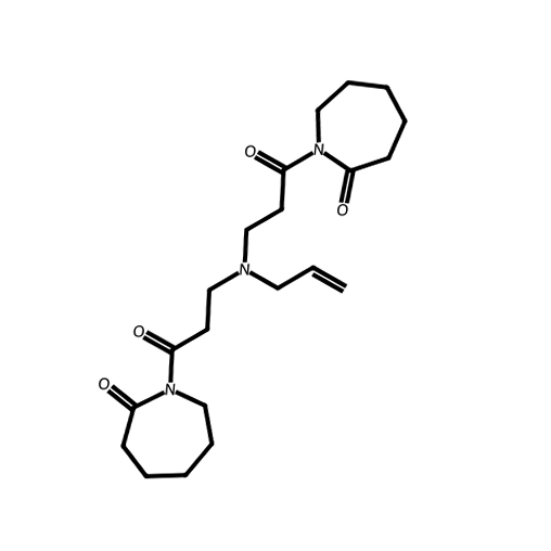 C=CCN(CCC(=O)N1CCCCCC1=O)CCC(=O)N1CCCCCC1=O